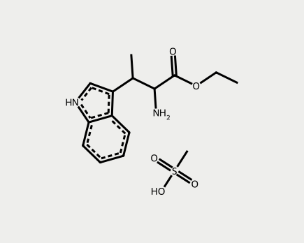 CCOC(=O)C(N)C(C)c1c[nH]c2ccccc12.CS(=O)(=O)O